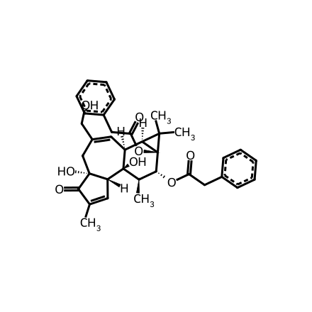 CC1=C[C@H]2[C@@]3(O)[C@H](C)[C@@H](OC(=O)Cc4ccccc4)[C@]4(OC(=O)Cc5ccccc5)[C@@H]([C@@H]3C=C(CO)C[C@]2(O)C1=O)C4(C)C